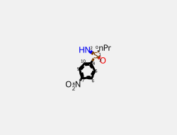 CCCS(=N)(=O)c1ccc([N+](=O)[O-])cc1